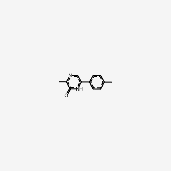 Cc1ccc(-c2cnc(C)c(=O)[nH]2)cc1